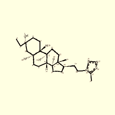 CC[C@@]1(O)CC[C@H]2[C@@H](CC[C@@H]3[C@@H]2CC[C@]2(C)[C@@H](CCn4nnnc4C)CC[C@@H]32)C1